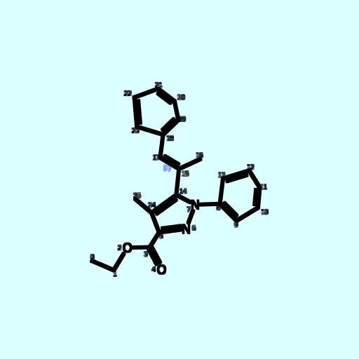 CCOC(=O)c1nn(-c2ccccc2)c(/C(C)=C/c2ccccc2)c1C